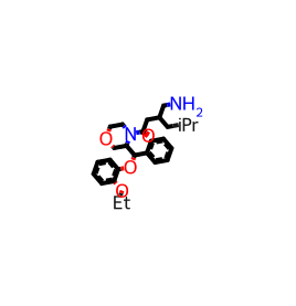 CCOc1ccccc1OC(c1ccccc1)C1COCCN1C(=O)CC(CN)CC(C)C